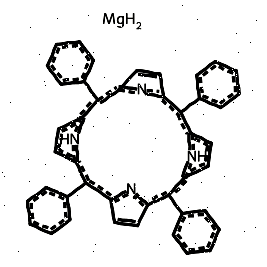 C1=Cc2nc1c(-c1ccccc1)c1ccc([nH]1)c(-c1ccccc1)c1nc(c(-c3ccccc3)c3ccc([nH]3)c2-c2ccccc2)C=C1.[MgH2]